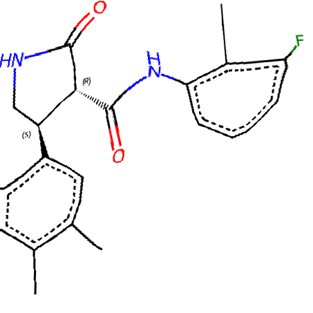 Cc1ccc([C@H]2CNC(=O)[C@@H]2C(=O)Nc2cccc(F)c2C)cc1C